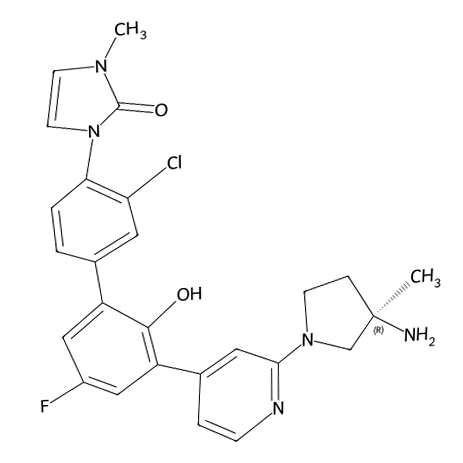 Cn1ccn(-c2ccc(-c3cc(F)cc(-c4ccnc(N5CC[C@@](C)(N)C5)c4)c3O)cc2Cl)c1=O